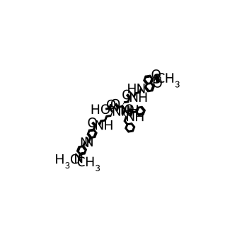 CN(C)c1ccc(/N=N/c2ccc(C(=O)NCCCC[C@H](NC(=O)[C@H](CCC(=O)NCCNc3cccc4c(S(C)(=O)=O)cccc34)NC[C@H](CC3CCCCC3)NC(=O)c3ccccc3)C(=O)O)cc2)cc1